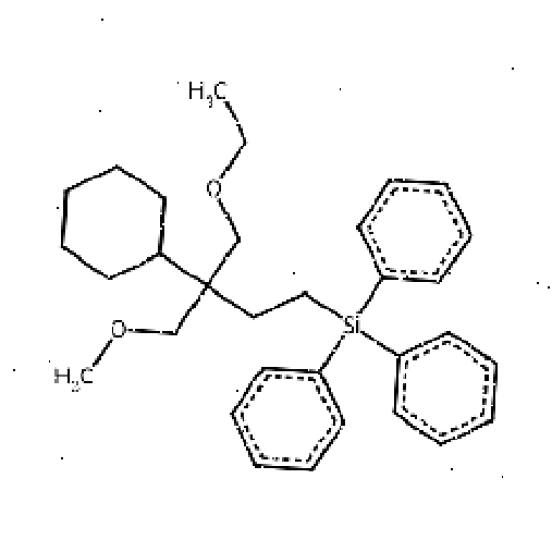 CCOCC(CC[Si](c1ccccc1)(c1ccccc1)c1ccccc1)(COC)C1CCCCC1